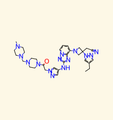 CCc1cnn(C2(CC#N)CN(c3cccn4nc(Nc5cnn(CC(=O)N6CCN(CN7CCN(C)CC7)CC6)c5)nc34)C2)c1